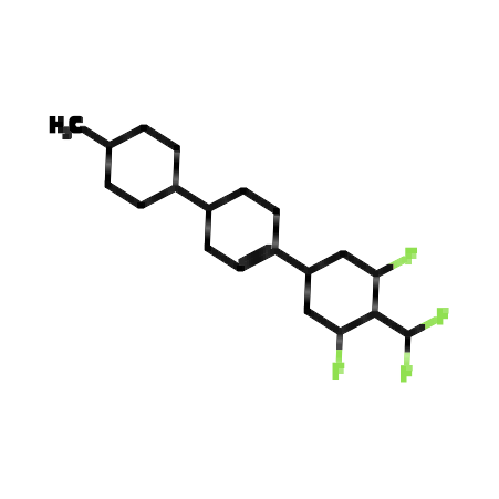 CC1CCC(C2CC=C(C3CC(F)C(C(F)F)C(F)C3)CC2)CC1